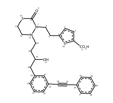 O=C(O)c1ccc(CCN2C(=O)SCCN2CCC(O)Cc2cccc(C#Cc3ccccc3)c2)s1